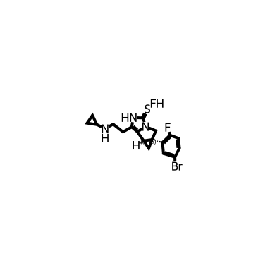 F.Fc1ccc(Br)cc1[C@]12C[C@H]1c1c(CCNC3CC3)[nH]c(=S)n1C2